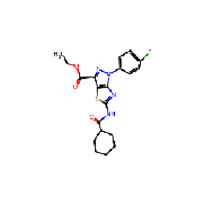 CCOC(=O)c1nn(-c2ccc(F)cc2)c2nc(NC(=O)C3CCCCC3)sc12